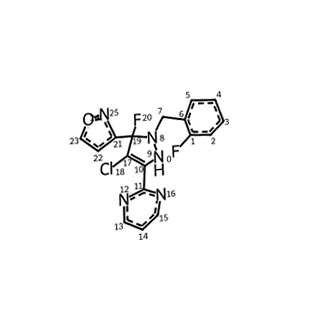 Fc1ccccc1CN1NC(c2ncccn2)=C(Cl)C1(F)c1ccon1